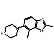 Cc1nc2ccc(N3CCNCC3)c(F)c2o1